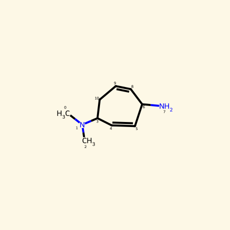 CN(C)C1C=CC(N)C=CC1